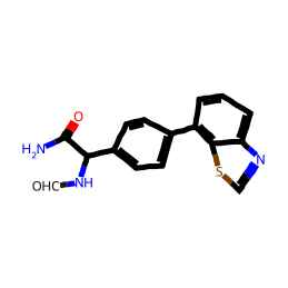 NC(=O)C(NC=O)c1ccc(-c2cccc3ncsc23)cc1